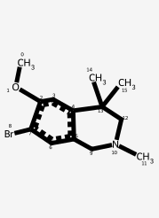 COc1cc2c(cc1Br)CN(C)CC2(C)C